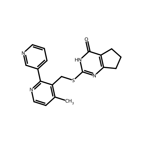 Cc1ccnc(-c2cccnc2)c1CSc1nc2c(c(=O)[nH]1)CCC2